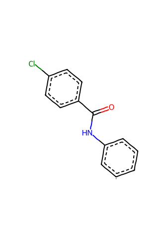 O=C(Nc1c[c]ccc1)c1ccc(Cl)cc1